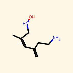 C=C(/C=C(/C)CNO)CCN